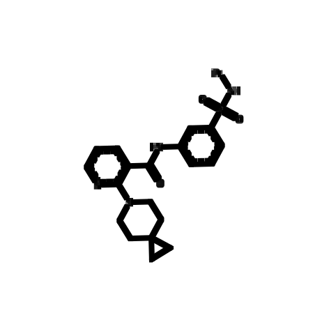 CC(C)NS(=O)(=O)c1cccc(NC(=O)c2cccnc2N2CCC3(CC2)CC3)c1